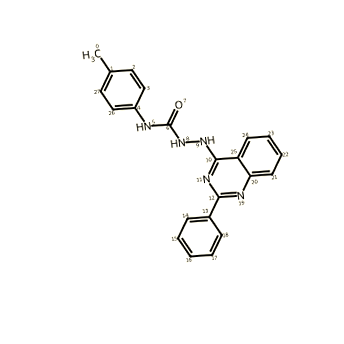 Cc1ccc(NC(=O)NNc2nc(-c3ccccc3)nc3ccccc23)cc1